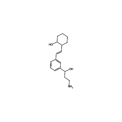 NCCC(O)c1cccc(/C=C/C2CCCCC2O)c1